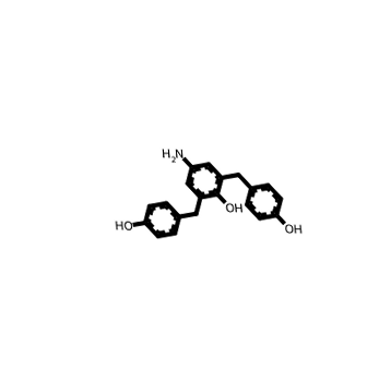 Nc1cc(Cc2ccc(O)cc2)c(O)c(Cc2ccc(O)cc2)c1